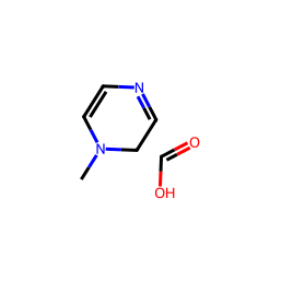 CN1C=CN=CC1.O=CO